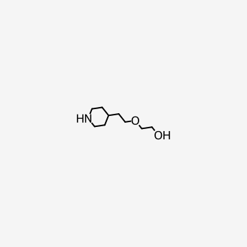 OCCOCCC1CCNCC1